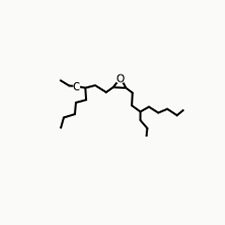 CCCCCC(CCC)CCC1OC1CCC(CCC)CCCCC